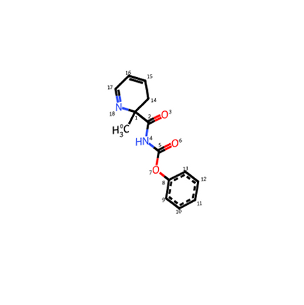 CC1(C(=O)NC(=O)Oc2ccccc2)CC=CC=N1